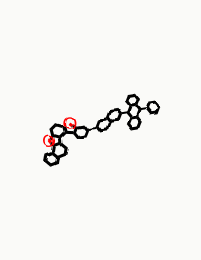 c1ccc(-c2c3ccccc3c(-c3ccc4cc(-c5ccc6c(c5)oc5ccc7oc8c9ccccc9ccc8c7c56)ccc4c3)c3ccccc23)cc1